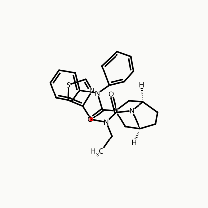 CCN(Cc1cscn1)C(=O)N1[C@@H]2CC[C@H]1CN(C(=O)N(c1ccccc1)c1ccccc1)C2